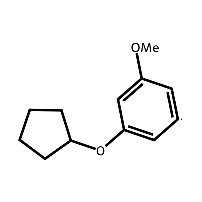 COc1c[c]cc(OC2CCCC2)c1